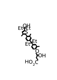 CCC(O)(CC)c1cc(C)c(-c2ccc(C(CC)(CC)c3ccc(OC[C@H](O)CCC(=O)O)c(C)c3)cc2C)s1